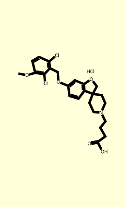 COc1ccc(Cl)c(COc2ccc3c(c2)OCC32CCN(CCCC(=O)O)CC2)c1Cl.Cl